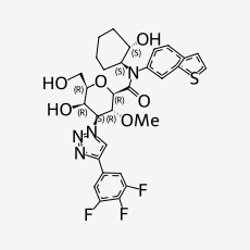 CO[C@@H]1[C@@H](n2cc(-c3cc(F)c(F)c(F)c3)nn2)[C@@H](O)[C@@H](CO)O[C@H]1C(=O)N(c1ccc2ccsc2c1)[C@H]1CCCC[C@@H]1O